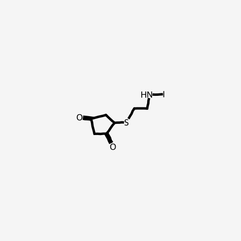 O=C1CC(=O)C(SCCNI)C1